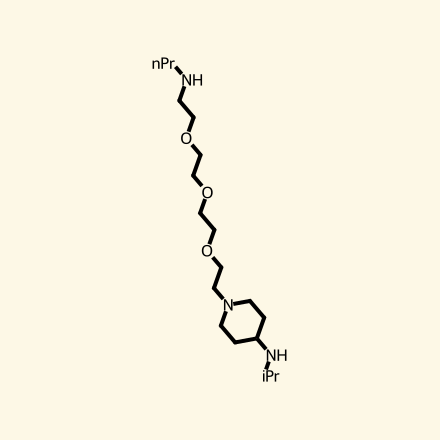 CCCNCCOCCOCCOCCN1CCC(NC(C)C)CC1